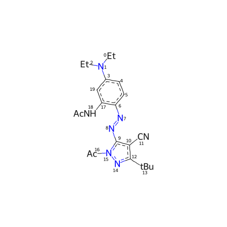 CCN(CC)c1ccc(/N=N/c2c(C#N)c(C(C)(C)C)nn2C(C)=O)c(NC(C)=O)c1